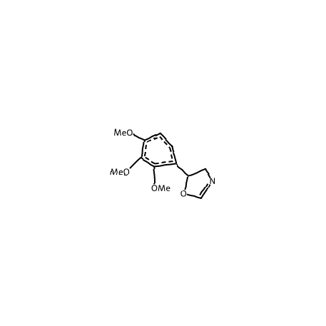 COc1ccc(C2CN=CO2)c(OC)c1OC